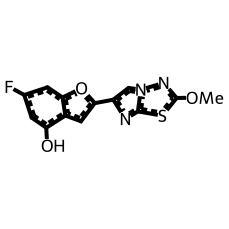 COc1nn2cc(-c3cc4c(O)cc(F)cc4o3)nc2s1